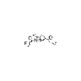 O=C(CC1CC1)c1ccc(C2(NC(=O)C(F)(F)F)CC2)cc1